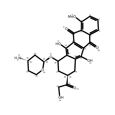 COc1cccc2c1C(=O)c1c(O)c3c(c(O)c1C2=O)C[C@@H](C(=O)CO)CC3O[C@@H]1C[C@@H](N)CCO1